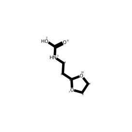 O=C(O)NCCC1OCCO1